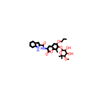 CCCOc1cc2cc(NC(=O)c3cc4ccccc4[nH]3)c(=O)oc2c(C)c1OC1OC(C)(C)C(OC)C(O)C1O